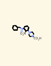 O=C(O)N1CCN(c2cccc(NCc3ccccc3)c2[N+](=O)[O-])CC1